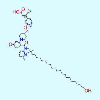 COc1ccc(C(=O)N(CC(C)(C)CCCCCCCCCCCCCCCCCCCCCCO)c2cccc(C)n2)c(N2CCC(COc3cc([C@@H](CC(=O)O)C4CC4)ccn3)CC2)c1